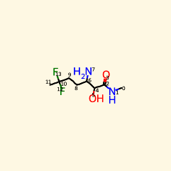 CNC(=O)C(O)C(N)CCC(C)(F)F